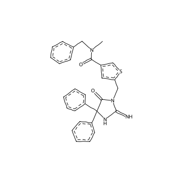 CN(Cc1ccccc1)C(=O)c1csc(CN2C(=N)NC(c3ccccc3)(c3ccccc3)C2=O)c1